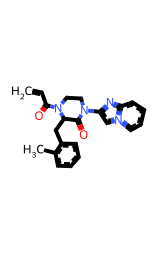 C=CC(=O)N1CCN(c2cn3ccccc3n2)C(=O)C1Cc1ccccc1C